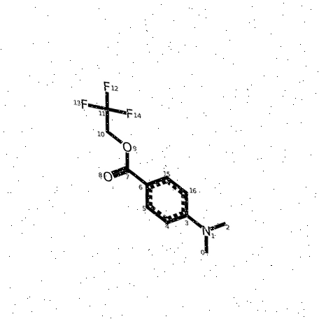 CN(C)c1ccc(C(=O)OCC(F)(F)F)cc1